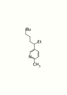 CCC(C)CCCC(CC)c1ccc(C)nc1